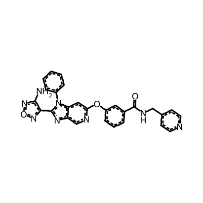 Nc1nonc1-c1nc2cnc(Oc3cccc(C(=O)NCc4ccncc4)c3)cc2n1-c1ccccc1